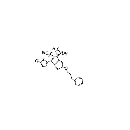 CCOC(=O)C1=C(c2ccc(Cl)s2)c2ccc(OCCCc3ccccc3)cc2/C1=[N+](/C)O